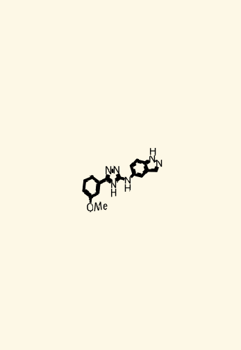 COC1=CCCC(c2nnc(Nc3ccc4[nH]ncc4c3)[nH]2)=C1